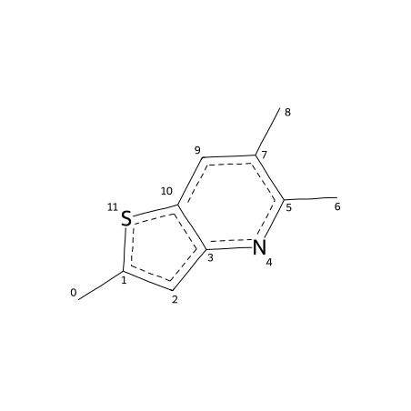 Cc1cc2nc(C)c(C)cc2s1